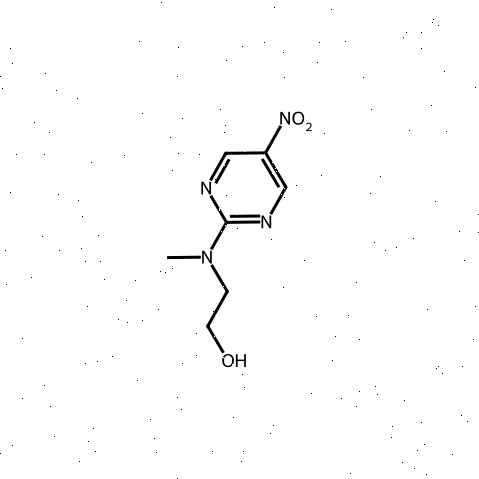 CN(CCO)c1ncc([N+](=O)[O-])cn1